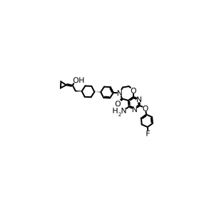 Nc1nc(OC2=CCC(F)C=C2)nc2c1C(=O)N(C1=CCC([C@H]3CC[C@H](CC(O)=C4CC4)CC3)C=C1)CCO2